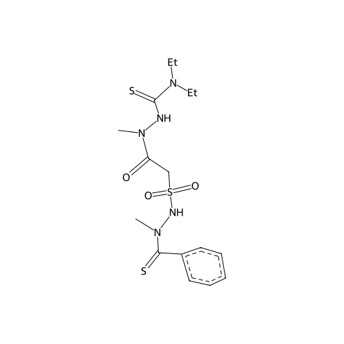 CCN(CC)C(=S)NN(C)C(=O)CS(=O)(=O)NN(C)C(=S)c1ccccc1